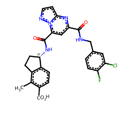 Cc1c(C(=O)O)ccc2c1CC[C@@H]2NC(=O)c1cc(C(=O)NCc2ccc(F)c(Cl)c2)nc2ccnn12